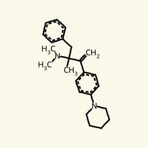 C=C(c1ccc(N2CCCCC2)cc1)C(C)(Cc1ccccc1)N(C)C